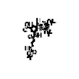 CC(C)(C)OC(=O)/N=C(\NC(=O)OC(C)(C)C)Nc1cc(NC(=O)CCCNC(=O)OC(C)(C)C)cc(C(=O)O)c1